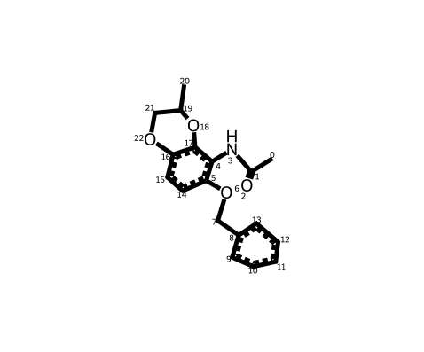 CC(=O)Nc1c(OCc2ccccc2)ccc2c1OC(C)CO2